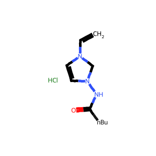 C=CN1C=CN(NC(=O)CCCC)C1.Cl